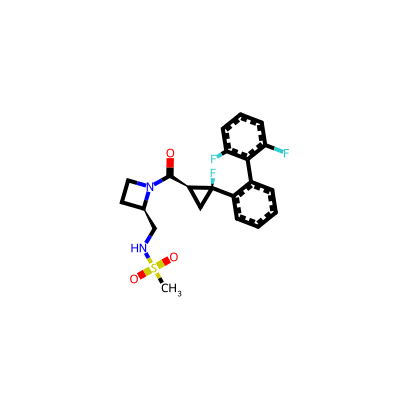 CS(=O)(=O)NC[C@H]1CCN1C(=O)[C@@H]1C[C@@]1(F)c1ccccc1-c1c(F)cccc1F